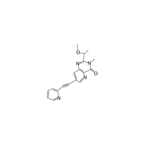 COC(C)c1nc2cc(C#Cc3ccccn3)cnc2c(=O)n1C